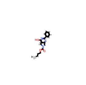 CCCCOC(=O)N1Cc2nc(-c3ccccc3)nc(O)c2C1